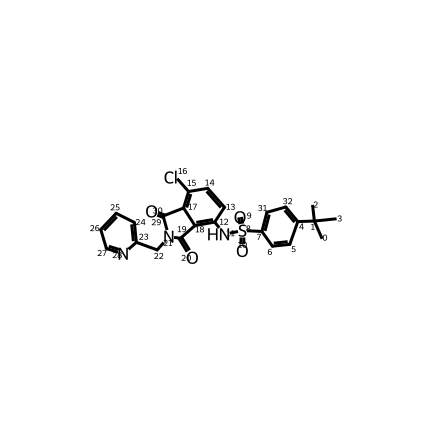 CC(C)(C)c1ccc(S(=O)(=O)Nc2ccc(Cl)c3c2C(=O)N(Cc2ccccn2)C3=O)cc1